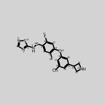 Fc1cc(SNc2ncns2)c(F)cc1Oc1cc(Cl)cc(C2CNC2)c1